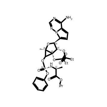 CCC(=O)O[C@H]1[C@H](c2ccc3c(N)ncnn23)O[C@]2(C)C(O[P@@](=O)(N[C@@H](C)C(=O)OC(C)C)Oc3ccccc3)[C@]12OC(=O)CC